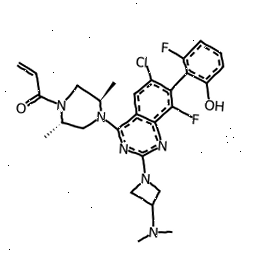 C=CC(=O)N1C[C@@H](C)N(c2nc(N3CC(N(C)C)C3)nc3c(F)c(-c4c(O)cccc4F)c(Cl)cc23)C[C@@H]1C